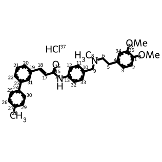 COc1ccc(CCN(C)Cc2ccc(NC(=O)C=Cc3cccc(-c4ccc(C)cc4)c3)cc2)cc1OC.Cl